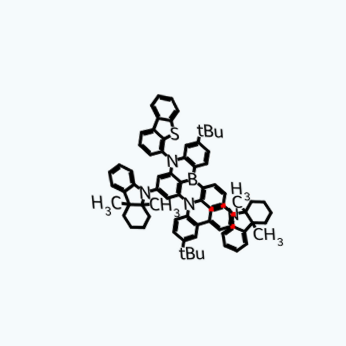 CC(C)(C)c1ccc(N2c3cc(N4c5ccccc5C5(C)CCCCC45C)ccc3B3c4ccc(C(C)(C)C)cc4N(c4cccc5c4sc4ccccc45)c4cc(N5c6ccccc6C6(C)CCCCC56C)cc2c43)c(-c2ccccc2)c1